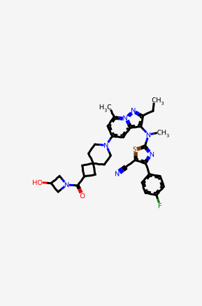 CCc1nn2c(C)cc(N3CCC4(CC3)CC(C(=O)N3CC(O)C3)C4)cc2c1N(C)c1nc(-c2ccc(F)cc2)c(C#N)s1